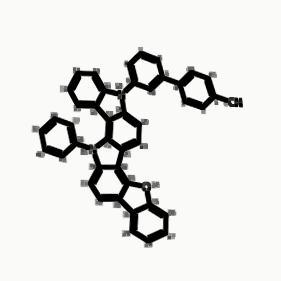 N#Cc1ccc(-c2cccc(-n3c4ccccc4c4c3ccc3c5c6oc7ccccc7c6ccc5n(-c5ccccc5)c34)c2)cc1